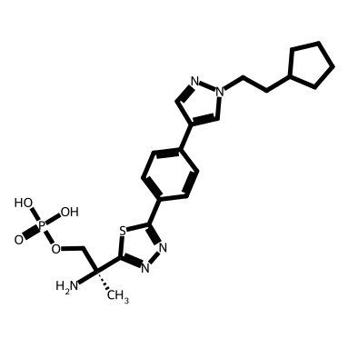 C[C@](N)(COP(=O)(O)O)c1nnc(-c2ccc(-c3cnn(CCC4CCCC4)c3)cc2)s1